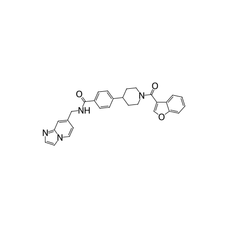 O=C(NCc1ccn2ccnc2c1)c1ccc(C2CCN(C(=O)c3coc4ccccc34)CC2)cc1